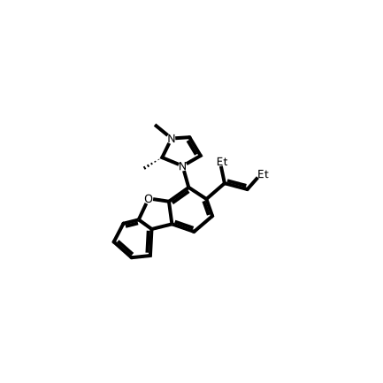 CC/C=C(\CC)c1ccc2c(oc3ccccc32)c1N1C=CN(C)[C@H]1C